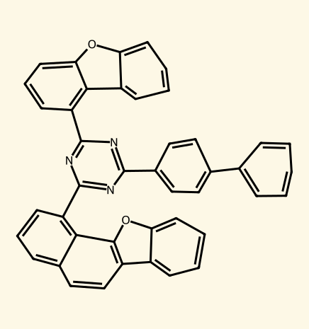 c1ccc(-c2ccc(-c3nc(-c4cccc5oc6ccccc6c45)nc(-c4cccc5ccc6c7ccccc7oc6c45)n3)cc2)cc1